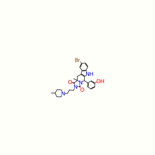 CC1CCN(CCCN2C(=O)N3C(c4cccc(O)c4)c4[nH]c5ccc(Br)cc5c4CC3(C)C2=O)CC1